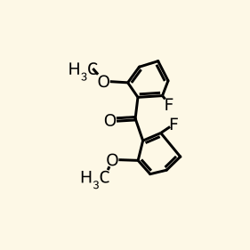 COc1cccc(F)c1C(=O)c1c(F)cccc1OC